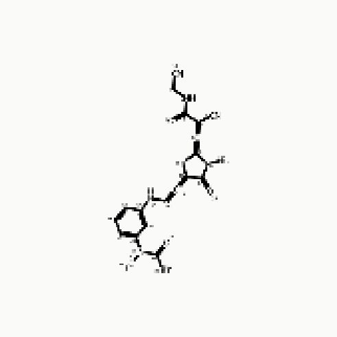 CCn1c(=C=C(C#N)C(=O)NCC#N)sc(=C=CNc2cccc(N(C)C(=O)C(C)C)c2)c1=O